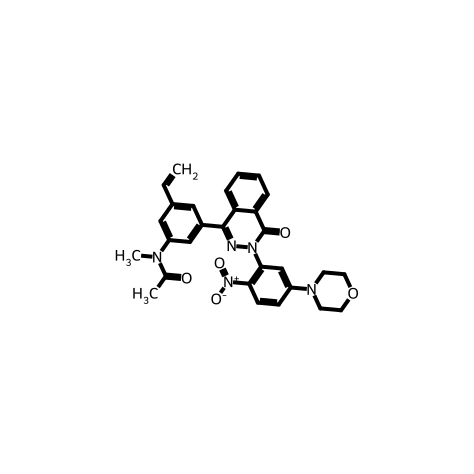 C=Cc1cc(-c2nn(-c3cc(N4CCOCC4)ccc3[N+](=O)[O-])c(=O)c3ccccc23)cc(N(C)C(C)=O)c1